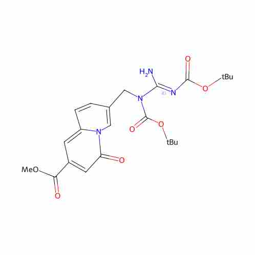 COC(=O)c1cc(=O)n2cc(CN(C(=O)OC(C)(C)C)/C(N)=N/C(=O)OC(C)(C)C)ccc2c1